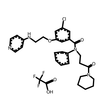 O=C(CCN(C(=O)c1cc(Cl)cc(OCCNc2ccncc2)c1)c1ccccc1)N1CCCCC1.O=C(O)C(F)(F)F